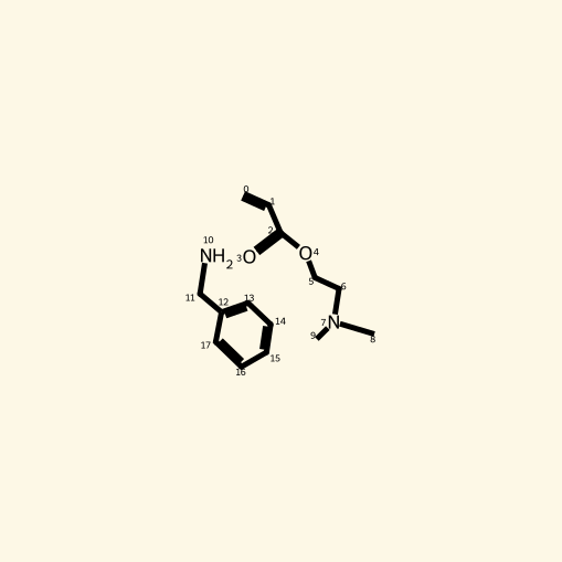 C=CC(=O)OCCN(C)C.NCc1ccccc1